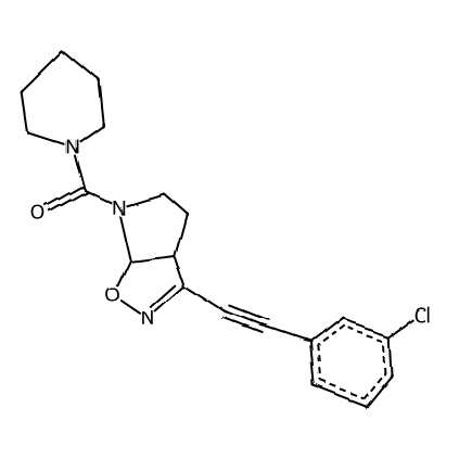 O=C(N1CCCCC1)N1CCC2C(C#Cc3cccc(Cl)c3)=NOC21